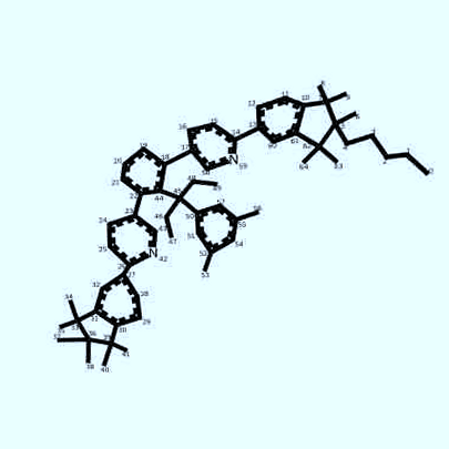 CCCCCC1(C)C(C)(C)c2ccc(-c3ccc(-c4cccc(-c5ccc(-c6ccc7c(c6)C(C)(C)C(C)(C)C7(C)C)nc5)c4C(CC)(CC)c4cc(C)cc(C)c4)cn3)cc2C1(C)C